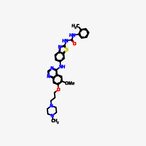 COc1cc2c(Nc3ccc4nc(NC(=O)Nc5ccccc5C)sc4c3)ncnc2cc1OCCCN1CCN(C)CC1